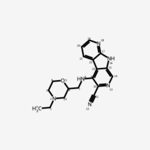 CCN1CCOC(CNc2c(C#N)ncc3[nH]c4ncccc4c23)C1